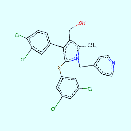 Cc1c(CO)c(-c2ccc(Cl)c(Cl)c2)c(Sc2cc(Cl)cc(Cl)c2)n1Cc1ccncc1